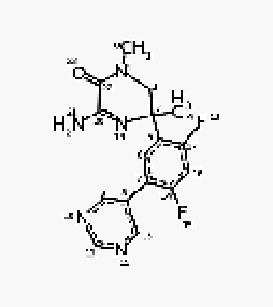 CN1CC(C)(c2cc(-c3cncnc3)c(F)cc2F)N=C(N)C1=O